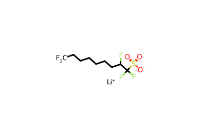 O=S(=O)([O-])C(F)(F)C(F)CCCCCCC(F)(F)F.[Li+]